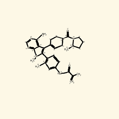 C=C(C)C(=O)Nc1ccc(-c2c(C3=CC[C@H](C(=O)N4CCC[C@H]4C)CC3)c3c(N)ncnc3n2C)c(C)c1